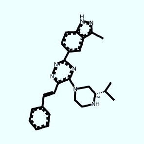 Cc1n[nH]c2ccc(-c3nnc(C=Cc4ccccc4)c(N4CCN[C@@H](C(C)C)C4)n3)cc12